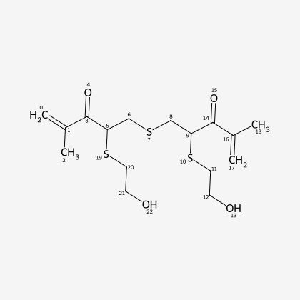 C=C(C)C(=O)C(CSCC(SCCO)C(=O)C(=C)C)SCCO